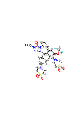 CNC(=O)N1N=C(c2ccc(N3CCS(=O)(=O)CC3)cc2)c2cc(N3CCS(=O)(=O)CC3)c(OC(F)(F)F)cc2CC1C